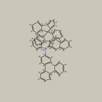 CC1(C)c2ccccc2C2(c3ccccc3-c3cccc(-c4cccc(N(c5ccc(-c6ccccc6-c6ccccc6)cc5)c5ccc6ccccc6c5)c4)c32)c2ccccc21